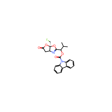 CC(C)C(OC(=O)n1c2ccccc2c2ccccc21)C1=NC2CC(=O)O[C@@]2(CF)O1